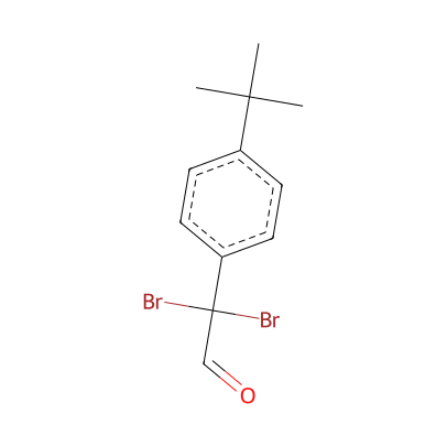 CC(C)(C)c1ccc(C(Br)(Br)C=O)cc1